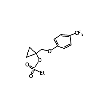 CCS(=O)(=O)OC1(COc2ccc(C(F)(F)F)cc2)CC1